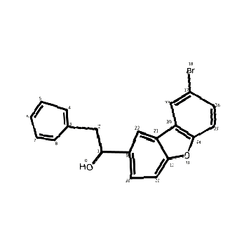 OC(Cc1ccccc1)c1ccc2oc3ccc(Br)cc3c2c1